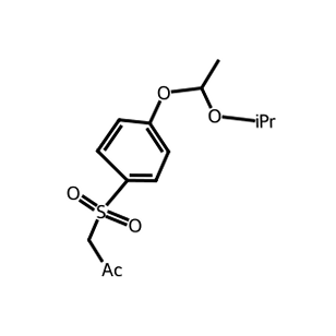 CC(=O)CS(=O)(=O)c1ccc(OC(C)OC(C)C)cc1